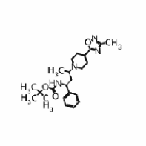 Cc1noc(C2CCN(C(C)C[C@H](NC(=O)OC(C)(C)C)c3ccccc3)CC2)n1